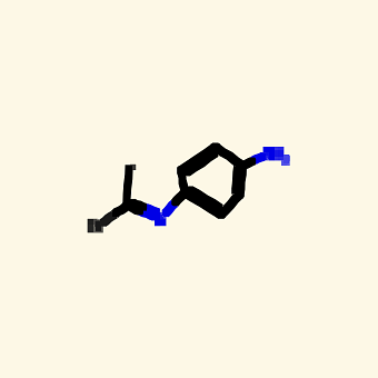 [CH2]C(CC)=Nc1ccc(N)cc1